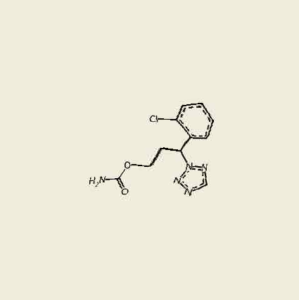 NC(=O)OCCC(c1ccccc1Cl)n1ncnn1